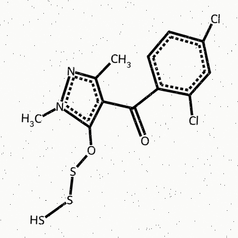 Cc1nn(C)c(OSSS)c1C(=O)c1ccc(Cl)cc1Cl